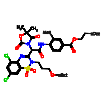 CCCCCCCCCCCCOC(=O)c1ccc(NC(=O)C(C2=Nc3c(Cl)cc(Cl)cc3S(=O)(=O)N2CCCOCCCCCCCC)N2C(=O)OC(C)(C)C2=O)c(SC)c1